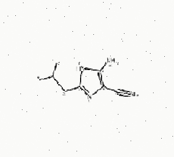 CC(C)Cc1nc(C#N)c(N)[nH]1